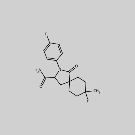 CC1(F)[CH]CC2(CC1)CC(C(N)=O)N(c1ccc(F)cc1)C2=O